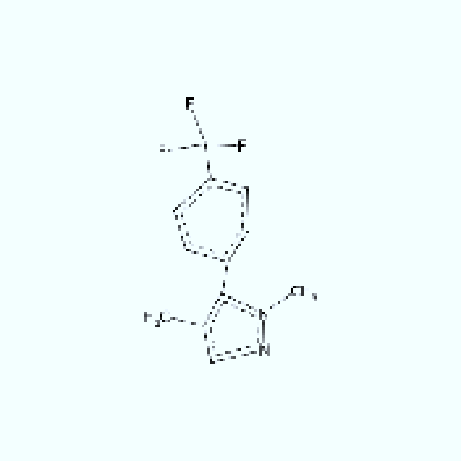 Cc1cnn(C)c1-c1ccc(C(F)(F)F)cc1